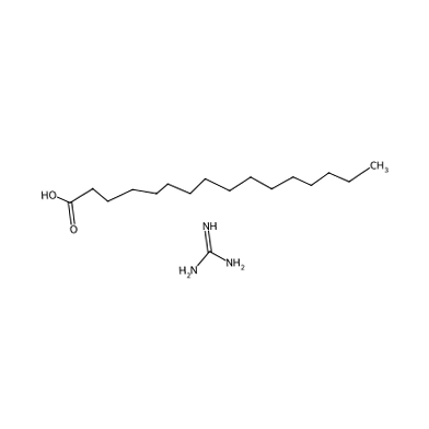 CCCCCCCCCCCCCCCC(=O)O.N=C(N)N